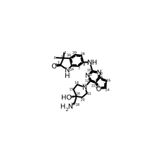 CC1(C)C(=O)Nc2cc(Nc3nc(N4CCC(O)(CN)CC4)c4occc4n3)ccc21